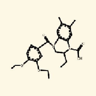 CCOc1ccc(C(=O)N2CC(CC)N(C(=O)O)c3cc(C)c(C)cc32)cc1OCC